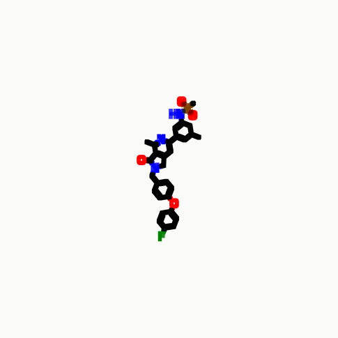 Cc1nc(C2=CC(C)CC(NS(C)(=O)=O)=C2)cc2c1C(=O)N(Cc1ccc(Oc3ccc(F)cc3)cc1)C2